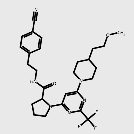 COCCC1CCN(c2cc(N3CCCC3C(=O)NCCc3ccc(C#N)cc3)nc(C(F)(F)F)n2)CC1